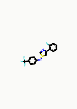 Fc1ccccc1C1=CS(=Nc2ccc(C(F)(F)F)cc2)C=N1